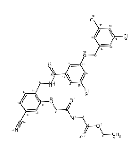 CCOC(=O)CNC(=O)COc1cc(C#N)ccc1CNC(=O)c1cc(Cl)cc(OCc2cc(Cl)cc(Cl)c2)c1